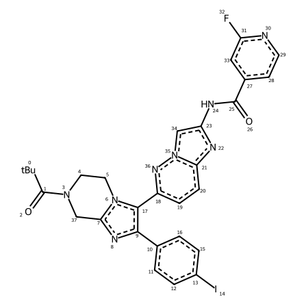 CC(C)(C)C(=O)N1CCn2c(nc(-c3ccc(I)cc3)c2-c2ccc3nc(NC(=O)c4ccnc(F)c4)cn3n2)C1